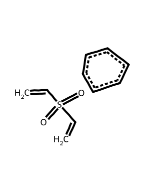 C=CS(=O)(=O)C=C.c1ccccc1